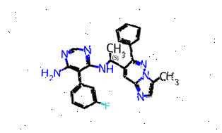 Cc1cnc2cc([C@H](C)Nc3ncnc(N)c3-c3cccc(F)c3)c(-c3ccccc3)nn12